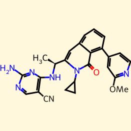 COc1cc(-c2cccc3cc([C@H](C)Nc4nc(N)ncc4C#N)n(C4CC4)c(=O)c23)ccn1